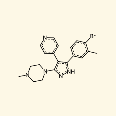 Cc1cc(-c2[nH]nc(N3CCN(C)CC3)c2-c2ccncc2)ccc1Br